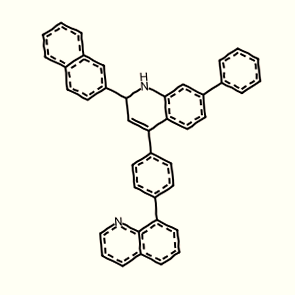 C1=C(c2ccc(-c3cccc4cccnc34)cc2)c2ccc(-c3ccccc3)cc2NC1c1ccc2ccccc2c1